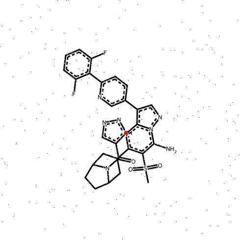 CS(=O)(=O)c1c(C2CC3CCC(C2)N3C(=O)c2cnn[nH]2)nc2c(-c3ccc(-c4c(F)cccc4F)nc3)cnn2c1N